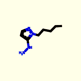 CCCCCn1nccc1NN